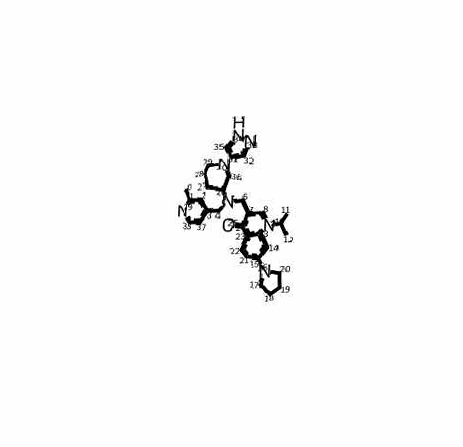 Cc1cc(CN(Cc2cn(C(C)C)c3cc(N4CCCC4)ccc3c2=O)[C@H]2CCCN(c3cn[nH]c3)C2)ccn1